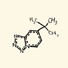 CC(C)(C)c1ccn2nnnc2c1